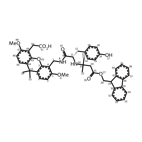 COc1ccc2c(c1CNC(=O)[C@H](Cc1ccc(O)cc1)NC(C)(C)CC(=O)OCC1c3ccccc3-c3ccccc31)Oc1c(ccc(OC)c1CC(=O)O)C2(C)C